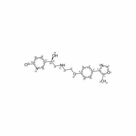 Cc1ocnc1-c1ccc(OCCNC[C@H](O)c2ccc(Cl)nc2)cc1